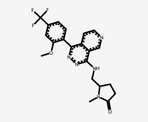 COc1cc(C(F)(F)F)ccc1-c1nnc(NCC2CCC(=O)N2C)c2cnccc12